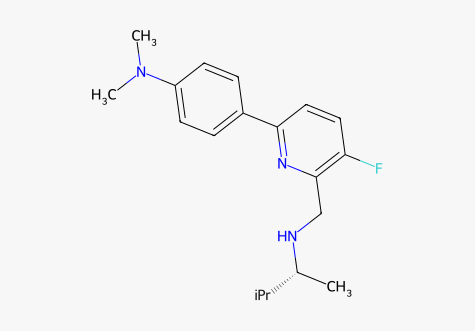 CC(C)[C@@H](C)NCc1nc(-c2ccc(N(C)C)cc2)ccc1F